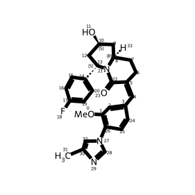 COc1cc(C=C2CC[C@@H]3C[C@H](O)C[C@@H](c4ccc(F)cc4)N3C2=O)ccc1-n1cnc(C)c1